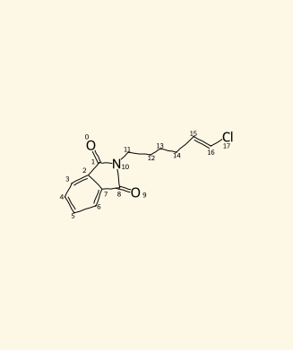 O=C1c2ccccc2C(=O)N1CCCCC=CCl